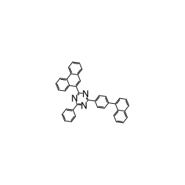 c1ccc(-c2nc(-c3ccc(-c4cccc5ccccc45)cc3)nc(-c3cc4ccccc4c4ccccc34)n2)cc1